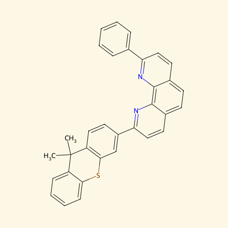 CC1(C)c2ccccc2Sc2cc(-c3ccc4ccc5ccc(-c6ccccc6)nc5c4n3)ccc21